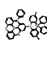 Cc1ccc2c(c1)[Si](c1ccccc1)(c1ccccc1)c1cc(C)ccc1N2c1cc2c3c(c1)N(c1ccccc1)c1cccc4c1B3c1c(cccc1S2)S4